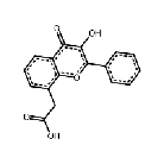 O=C(O)Cc1cccc2c(=O)c(O)c(-c3ccccc3)oc12